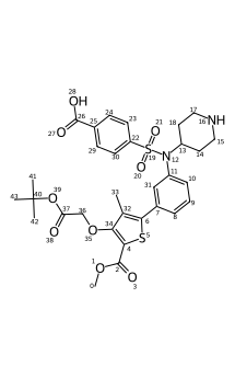 COC(=O)c1sc(-c2cccc(N(C3CCNCC3)S(=O)(=O)c3ccc(C(=O)O)cc3)c2)c(C)c1OCC(=O)OC(C)(C)C